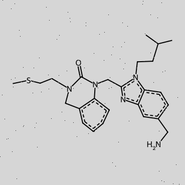 CSCCN1Cc2ccccc2N(Cc2nc3cc(CN)ccc3n2CCC(C)C)C1=O